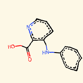 O=C(O)c1ncccc1Nc1ccccc1